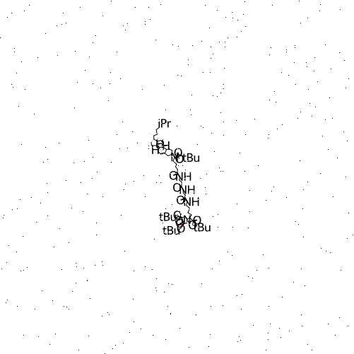 CC(C)CCC[C@@H](C)[C@H]1CC[C@H]2[C@@H]3CC=C4C[C@@H](N(CCCCC(=O)NCCC(=O)NCCC(=O)NCCCCC(C(=O)OC(C)(C)C)N(CC(=O)OC(C)(C)C)CC(=O)OC(C)(C)C)C(=O)OC(C)(C)C)CC[C@]4(C)[C@H]3CC[C@]12C